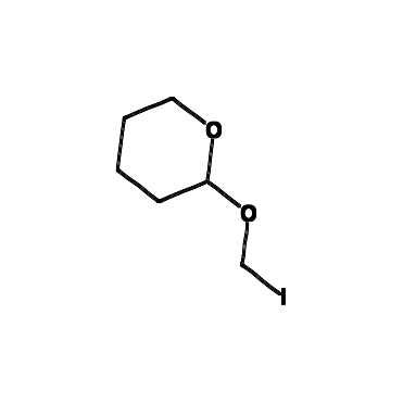 ICOC1CCCCO1